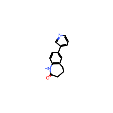 O=C1CCCc2cc(-c3cccnc3)ccc2N1